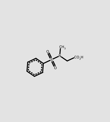 CN(CC(=O)O)S(=O)(=O)c1[c]cccc1